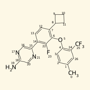 Cc1ccc(Oc2c(C3CCC3)ccc(-c3cnc(N)cn3)c2F)c(C(F)(F)F)c1